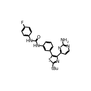 CC(C)(C)c1nc(-c2ccnc(N)n2)c(-c2cccc(NC(=O)Nc3ccc(F)cc3)c2)s1